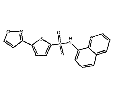 O=S(=O)(Nc1cccc2cccnc12)c1ccc(-c2ccon2)s1